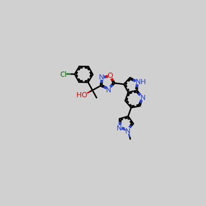 Cn1cc(-c2cnc3[nH]cc(-c4nc(C(C)(O)c5cccc(Cl)c5)no4)c3c2)cn1